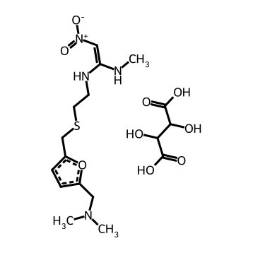 CN/C(=C/[N+](=O)[O-])NCCSCc1ccc(CN(C)C)o1.O=C(O)C(O)C(O)C(=O)O